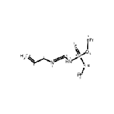 C=CCN=CNP(=S)(OCCC)SC(C)C